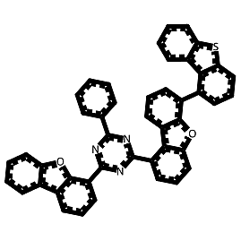 c1ccc(-c2nc(-c3cccc4c3oc3ccccc34)nc(-c3cccc4oc5c(-c6cccc7sc8ccccc8c67)cccc5c34)n2)cc1